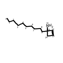 CCCCCCCCCCC1(N)C=CC1